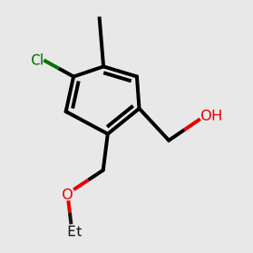 CCOCc1cc(Cl)c(C)cc1CO